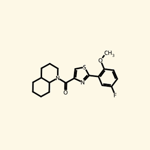 COc1ccc(F)cc1-c1nc(C(=O)N2CCCC3CCCCC32)cs1